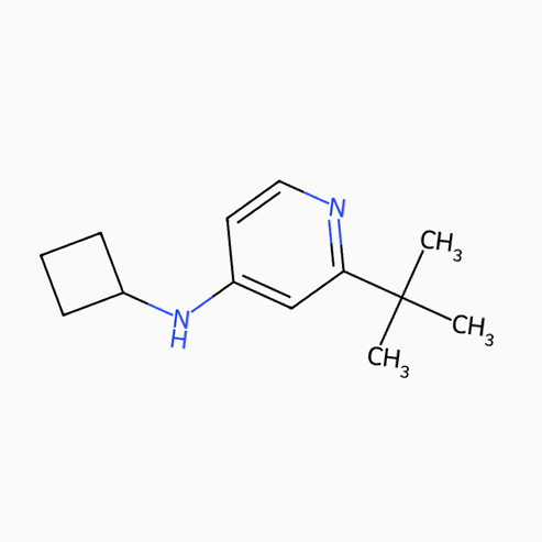 CC(C)(C)c1cc(NC2CCC2)ccn1